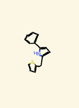 c1ccc(-c2ccc(Cc3cccs3)[nH]2)cc1